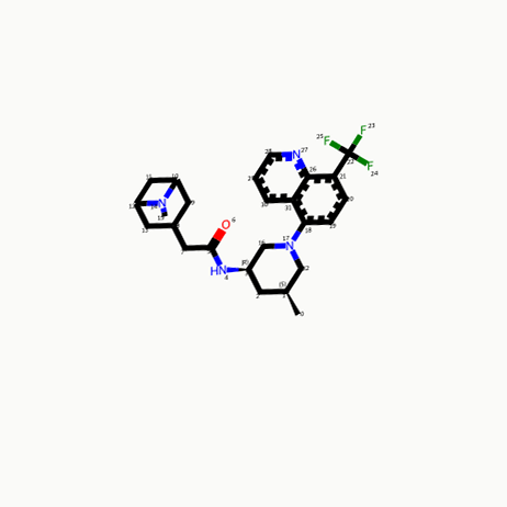 C[C@H]1C[C@@H](NC(=O)CC2CC3CC(C2)N3C)CN(c2ccc(C(F)(F)F)c3ncccc23)C1